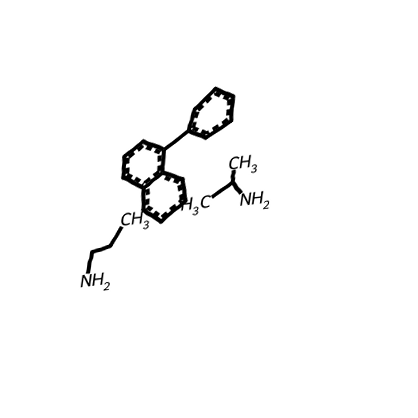 CC(C)N.CCCN.c1ccc(-c2cccc3ccccc23)cc1